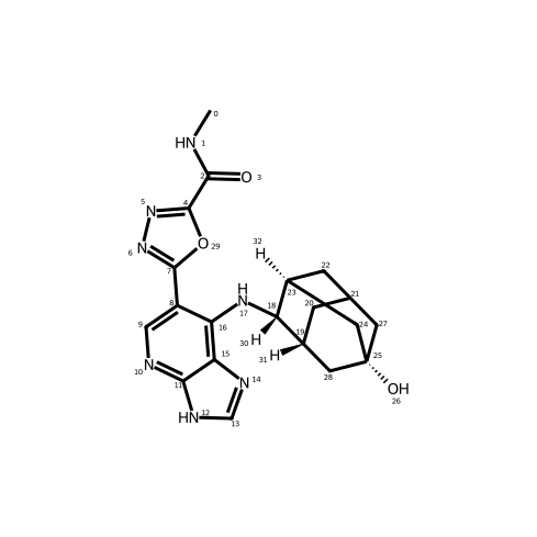 CNC(=O)c1nnc(-c2cnc3[nH]cnc3c2N[C@H]2[C@@H]3CC4C[C@H]2C[C@@](O)(C4)C3)o1